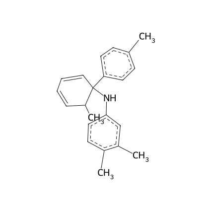 Cc1ccc(C2(Nc3ccc(C)c(C)c3)C=CC=CC2C)cc1